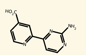 Nc1nccc(-c2cc(C(=O)O)ccn2)n1